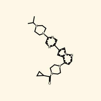 CC(C)N1CCN(c2cnc(-c3cc4c(N5CCN(C(=O)C6CC6)CC5)ccnn4c3)cn2)CC1